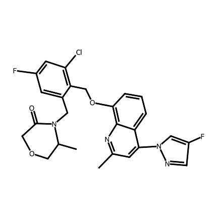 Cc1cc(-n2cc(F)cn2)c2cccc(OCc3c(Cl)cc(F)cc3CN3C(=O)COCC3C)c2n1